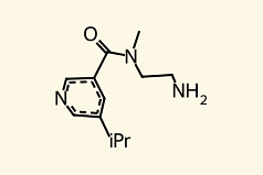 CC(C)c1cncc(C(=O)N(C)CCN)c1